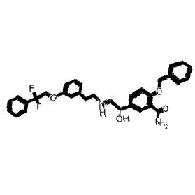 NC(=O)c1cc([C@H](O)CNCCc2cccc(OCC(F)(F)c3ccccc3)c2)ccc1OCc1ccccc1